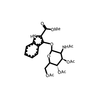 COC(=O)c1[nH]c2ccccc2c1OC1OC(COC(C)=O)[C@@H](OC(C)=O)[C@H](OC(C)=O)C1NC(C)=O